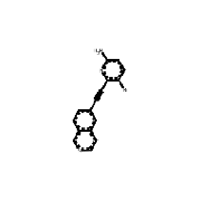 Nc1ccc(Br)c(C#Cc2ccc3cnccc3c2)n1